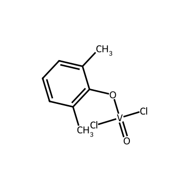 Cc1cccc(C)c1[O][V](=[O])([Cl])[Cl]